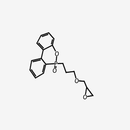 O=P1(CCCOCC2CO2)Oc2ccccc2-c2ccccc21